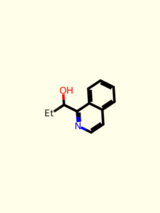 CCC(O)c1nccc2ccccc12